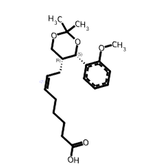 COc1ccccc1[C@H]1OC(C)(C)OC[C@H]1C/C=C\CCCCC(=O)O